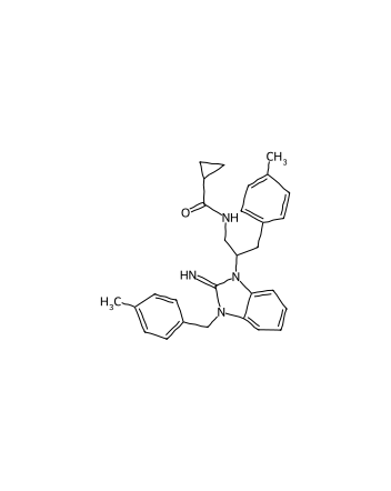 Cc1ccc(CC(CNC(=O)C2CC2)n2c(=N)n(Cc3ccc(C)cc3)c3ccccc32)cc1